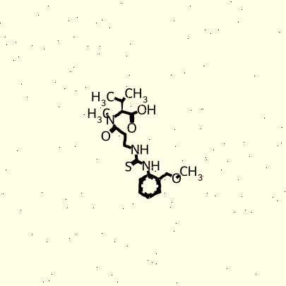 COCc1ccccc1NC(=S)NCCC(=O)N(C)[C@H](C(=O)O)C(C)C